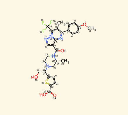 COc1ccc(-c2nc3c(C(=O)N4CCN([C@@H](CO)c5ccc(C(=O)O)s5)C[C@H]4C)cnn3c(C(F)(F)F)c2C)cc1